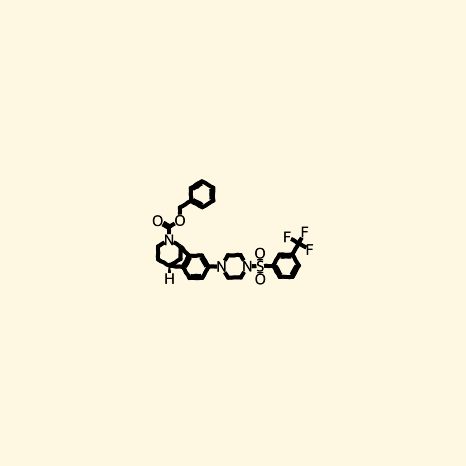 O=C(OCc1ccccc1)N1CC[C@@H]2CC1c1cc(N3CCN(S(=O)(=O)c4cccc(C(F)(F)F)c4)CC3)ccc12